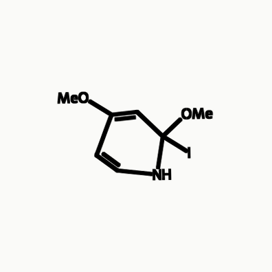 COC1=CC(I)(OC)NC=C1